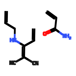 C=CC(N)=O.C=CCNC(C=C)=C(C#N)C#N